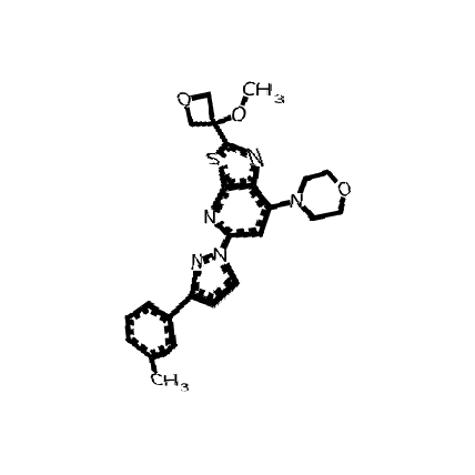 COC1(c2nc3c(N4CCOCC4)cc(-n4ccc(-c5cccc(C)c5)n4)nc3s2)COC1